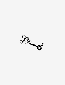 O=c1on(OCC#Cc2cccc(Cl)c2)oc1=O